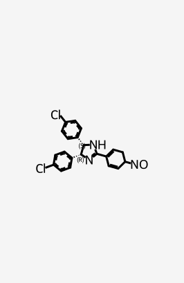 O=NC1C=CC(C2=N[C@H](c3ccc(Cl)cc3)[C@H](c3ccc(Cl)cc3)N2)=CC1